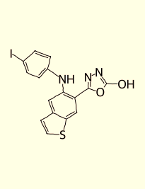 Oc1nnc(-c2cc3sccc3cc2Nc2ccc(I)cc2)o1